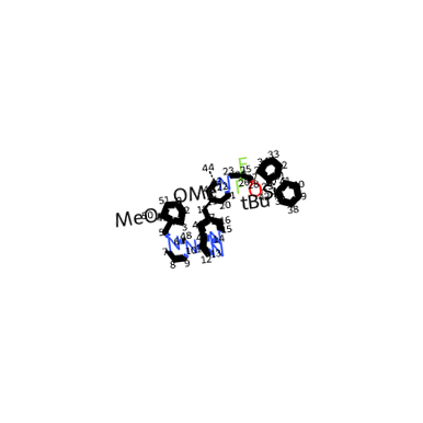 COc1ccc(CN2CC=CN(c3cnn4ccc(C[C@@H]5CCN(CC(F)(F)CO[Si](c6ccccc6)(c6ccccc6)C(C)(C)C)[C@@H](C)C5)cc34)C2)c(OC)c1